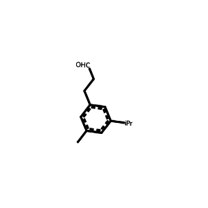 Cc1cc(CCC=O)cc(C(C)C)c1